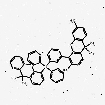 Cc1ccc2c(c1)Sc1c(ccc(C)c1-c1cccc([Si](c3ccccc3)(c3ccccc3)c3cccc4c3Sc3ccccc3C4(C)C)c1)C2(C)C